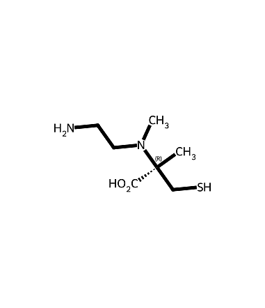 CN(CCN)[C@@](C)(CS)C(=O)O